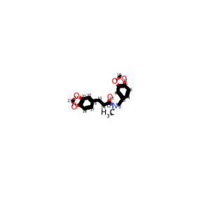 CN(Cc1ccc2c(c1)OCO2)C(=O)CCc1ccc2c(c1)OCO2